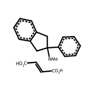 CNC1(c2ccccc2)Cc2ccccc2C1.O=C(O)C=CC(=O)O